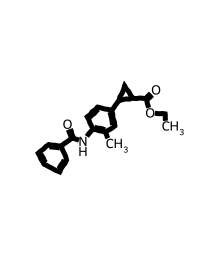 CCOC(=O)C1CC1c1ccc(NC(=O)c2ccccc2)c(C)c1